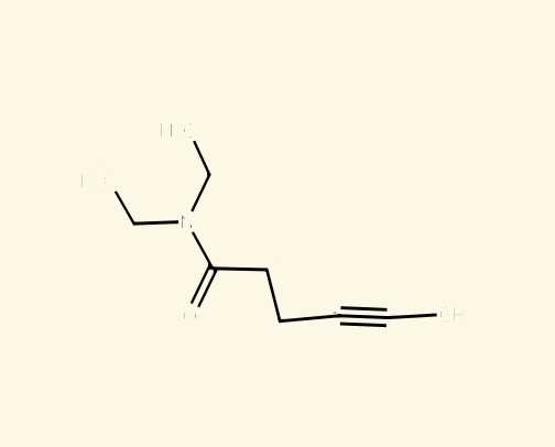 CC#CCCC(=O)N(CC)CC